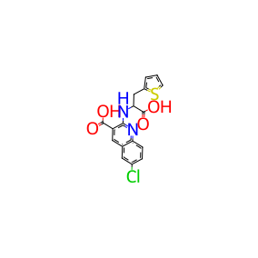 O=C(O)c1cc2cc(Cl)ccc2nc1NC(Cc1cccs1)C(=O)O